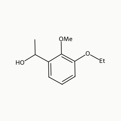 CCOc1cccc(C(C)O)c1OC